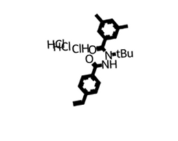 C=Cc1ccc(C(=O)NN(C(=O)c2cc(C)cc(C)c2)C(C)(C)C)cc1.Cl.Cl.Cl